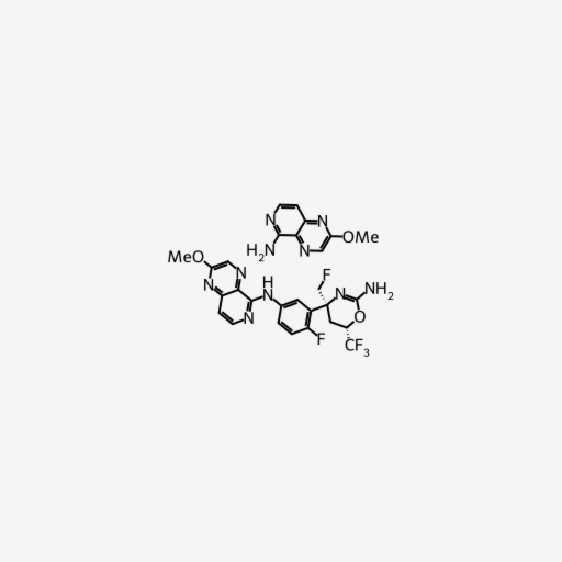 COc1cnc2c(N)nccc2n1.COc1cnc2c(Nc3ccc(F)c([C@]4(CF)C[C@@H](C(F)(F)F)OC(N)=N4)c3)nccc2n1